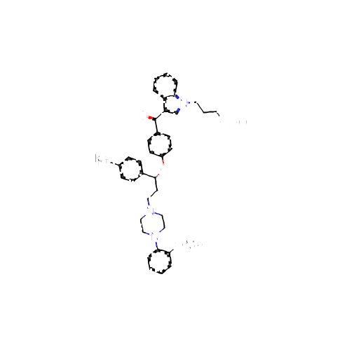 CCc1ccc(C(CCN2CCN(c3ccccc3OC)CC2)Oc2ccc(C(=O)c3cn(CCCC(=O)[O-])c4ccccc34)cc2)cc1.[K+]